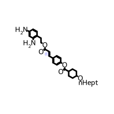 CCCCCCCOC1CCC(C(=O)Oc2ccc(/C=C/C(=O)OCCc3ccc(N)cc3N)cc2)CC1